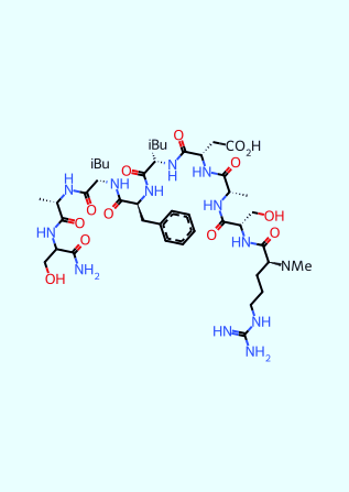 CC[C@H](C)[C@H](NC(=O)[C@H](Cc1ccccc1)NC(=O)[C@@H](NC(=O)[C@H](CC(=O)O)NC(=O)[C@H](C)NC(=O)[C@H](CO)NC(=O)[C@H](CCCNC(=N)N)NC)[C@@H](C)CC)C(=O)N[C@@H](C)C(=O)NC(CO)C(N)=O